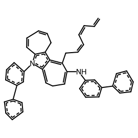 C=C/C=C\C=C/CC1=c2c3c(n(-c4cccc(-c5ccccc5)c4)c2=CCC=C1Nc1cccc(-c2ccccc2)c1)C=CC=CC3